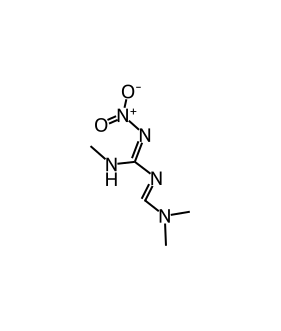 CNC(/N=C/N(C)C)=N\[N+](=O)[O-]